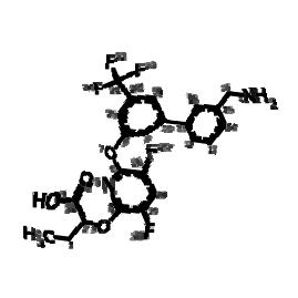 CCC(Oc1nc(Oc2cc(-c3cccc(CN)c3)cc(C(F)(F)F)c2)c(F)cc1F)C(=O)O